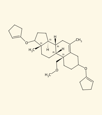 COC[C@]12CCC(OC3=CCCC3)CC1=C(C)C[C@@H]1[C@H]2CC[C@]2(C)C(OC3=CCCC3)CC[C@@H]12